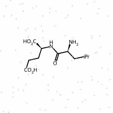 CC(C)C[C@H](N)C(=O)N[C@@H](CCC(=O)O)C(=O)O